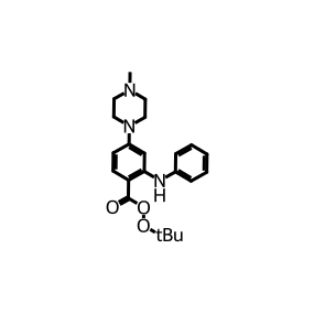 CN1CCN(c2ccc(C(=O)OOC(C)(C)C)c(Nc3ccccc3)c2)CC1